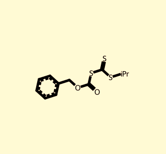 CC(C)SC(=S)SC(=O)OCc1ccccc1